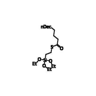 CCCCCCCCCCCCCC(=O)SCC[Si](OCC)(OCC)OCC